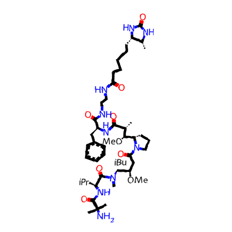 CC[C@H](C)[C@@H]([C@@H](CC(=O)N1CCC[C@H]1[C@H](OC)[C@@H](C)C(=O)N[C@@H](Cc1ccccc1)C(=O)NCCNC(=O)CCCCC[C@@H]1NC(=O)N[C@@H]1C)OC)N(C)C(=O)[C@@H](NC(=O)C(C)(C)N)C(C)C